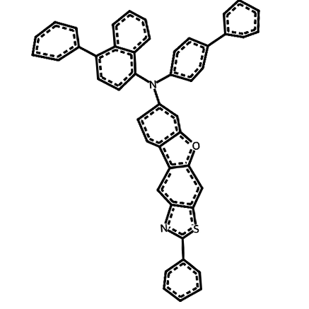 c1ccc(-c2ccc(N(c3ccc4c(c3)oc3cc5sc(-c6ccccc6)nc5cc34)c3ccc(-c4ccccc4)c4ccccc34)cc2)cc1